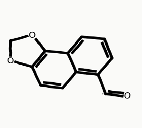 O=[C]c1cccc2c3c(ccc12)OCO3